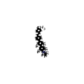 CC1CCC(CCc2ccc(-c3cc(F)c(-c4cc(F)c(/C=C/C(F)(F)F)c(F)c4)c(F)c3)cc2)CC1